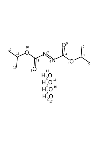 CC(C)OC(=O)N=NC(=O)OC(C)C.O.O.O.O